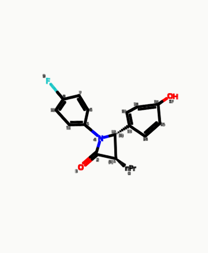 CCC[C@H]1C(=O)N(c2ccc(F)cc2)[C@@H]1c1ccc(O)cc1